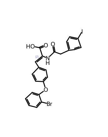 O=C(Cc1ccc(I)cc1)N/C(=C\c1ccc(Oc2ccccc2Br)cc1)C(=O)O